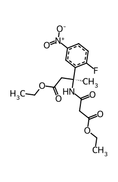 CCOC(=O)CC(=O)N[C@@](C)(CC(=O)OCC)c1cc([N+](=O)[O-])ccc1F